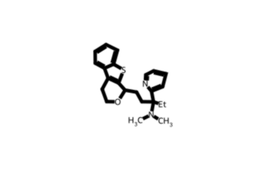 CCC(CCC1OCCc2c1sc1ccccc21)(c1ccccn1)N(C)C